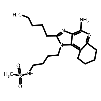 CCCCCc1nc2c(N)nc3c(c2n1CCCCNS(C)(=O)=O)CCCC3